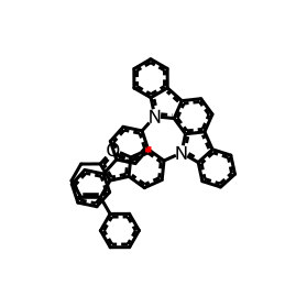 C1=C(c2ccccc2)c2c(oc3cc(-n4c5ccccc5c5ccc6c7ccccc7n(-c7ccc(-c8ccccc8)cc7)c6c54)ccc23)CC1